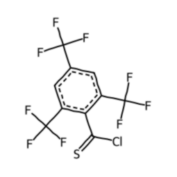 FC(F)(F)c1cc(C(F)(F)F)c(C(=S)Cl)c(C(F)(F)F)c1